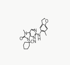 Cc1cc2c(cc1Nc1ncc3c(n1)n(C1(C#N)CCCCC1)c(=O)n3C)CCO2